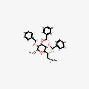 COC[C@H](F)[C@H]1O[C@H](OC)[C@@H](OCc2ccccc2)[C@@H](OCc2ccccc2)[C@@H]1OCc1ccccc1